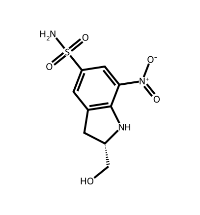 NS(=O)(=O)c1cc2c(c([N+](=O)[O-])c1)N[C@H](CO)C2